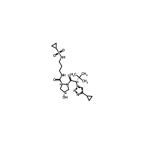 CC(C)(C)[C@@H](C(=O)N1C[C@H](O)C[C@H]1C(=O)NCCCNS(=O)(=O)C1CC1)n1cc(C2CC2)nn1